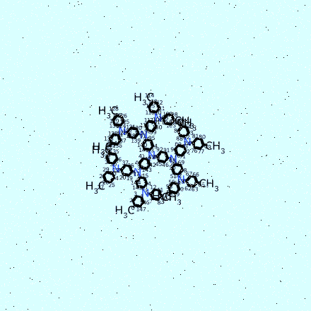 Cc1ccc(N(c2ccc(C)cc2)c2ccc(N(c3ccc(N(c4ccc(C)cc4)c4ccc(C)cc4)cc3)c3ccc(N(c4ccc(N(c5ccc(N(c6ccc(C)cc6)c6ccc(C)cc6)cc5)c5ccc(N(c6ccc(C)cc6)c6ccc(C)cc6)cc5)cc4)c4ccc(N(c5ccc(N(c6ccc(C)cc6)c6ccc(C)cc6)cc5)c5ccc(N(c6ccc(C)cc6)c6ccc(C)cc6)cc5)cc4)cc3)cc2)cc1